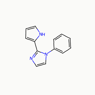 c1ccc(-n2ccnc2-c2ccc[nH]2)cc1